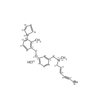 Cc1c(COc2cccc(CN(C)CC=CC#CC(C)(C)C)c2)cccc1-n1cccc1.Cl